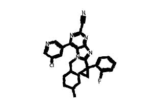 CC1CCC(Cn2c(C3(c4ccccc4F)CC3)nc3nc(C#N)nc(-c4cncc(Cl)c4)c32)CC1